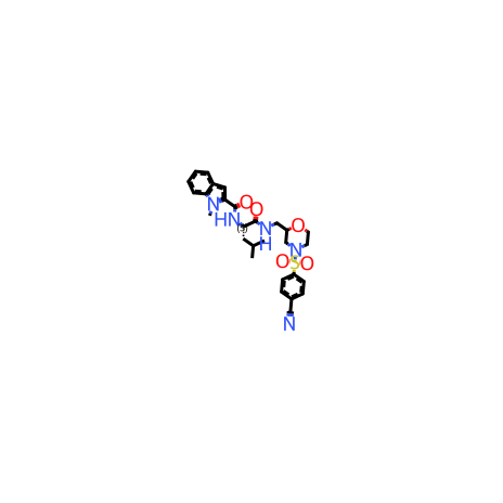 CC(C)C[C@H](NC(=O)c1cc2ccccc2n1C)C(=O)NCC1CN(S(=O)(=O)c2ccc(C#N)cc2)CCO1